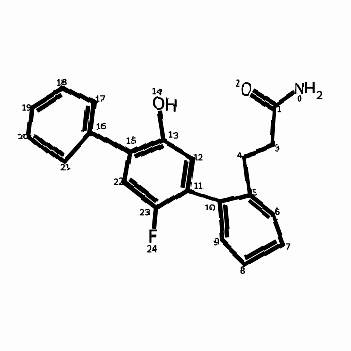 NC(=O)CCc1ccccc1-c1cc(O)c(-c2ccccc2)cc1F